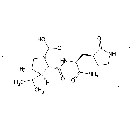 CC1(C)[C@@H]2[C@@H](C(=O)N[C@@H](C[C@@H]3CCNC3=O)C(N)=O)N(C(=O)O)C[C@@H]21